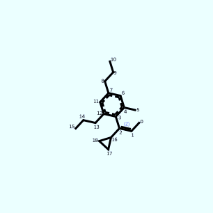 C/C=C(\c1c(C)cc(CCC)cc1CCC)C1CC1